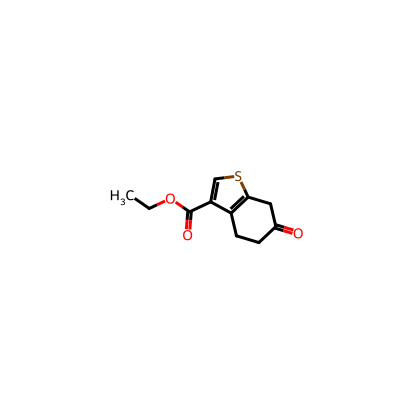 CCOC(=O)c1csc2c1CCC(=O)C2